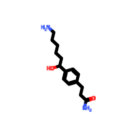 NCCCCCC(O)c1ccc(CCC(N)=O)cc1